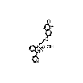 Cl.Cn1c(=O)ccc2cc(OCCCN(c3ccccc3Cc3cccnc3)S(C)(=O)=O)ccc21